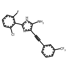 Nc1[nH]c(-c2c(F)cccc2Cl)nc1C#Cc1cccc(C(F)(F)F)c1